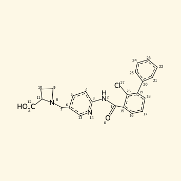 O=C(Nc1ccc(CN2CCC2C(=O)O)cn1)c1cccc(-c2ccccc2)c1Cl